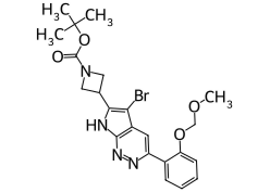 COCOc1ccccc1-c1cc2c(Br)c(C3CN(C(=O)OC(C)(C)C)C3)[nH]c2nn1